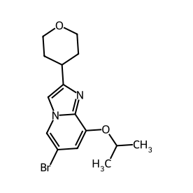 CC(C)Oc1cc(Br)cn2cc(C3CCOCC3)nc12